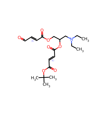 CCN(CC)CC(COC(=O)/C=C/C=O)OC(=O)/C=C/C(=O)OC(C)(C)C